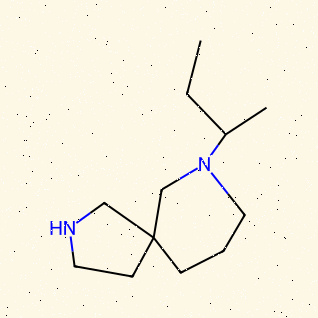 CCC(C)N1CCCC2(CCNC2)C1